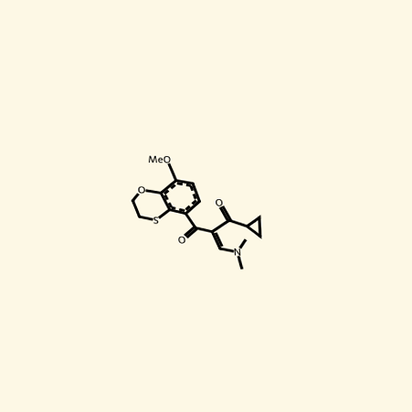 COc1ccc(C(=O)C(=CN(C)C)C(=O)C2CC2)c2c1OCCS2